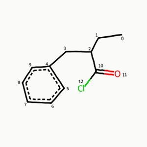 CCC(Cc1ccccc1)C(=O)Cl